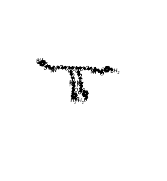 BCc1ccc(SC(=O)CCc2cn(CCOCCOCC(COCC(COCCOCCn3cc(CCC(=O)Sc4ccc(CB)cc4)nn3)OCCOCCn3cc(CCC(=O)Sc4ccc(CB)cc4)nn3)OCCOCCn3cc(CCC(=O)Sc4ccc(CB)cc4)nn3)nn2)cc1